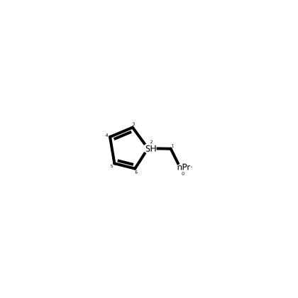 CC[CH]C[SH]1C=CC=C1